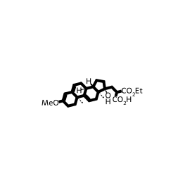 CCOC(=O)C(C[C@]1(O)CC[C@H]2[C@@H]3CC=C4C=C(OC)CC[C@]4(C)C3=CC[C@@]21C)C(=O)O